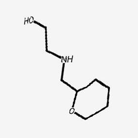 OCCNCC1CCCCO1